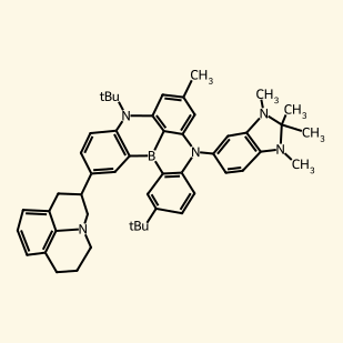 Cc1cc2c3c(c1)N(C(C)(C)C)c1ccc(C4Cc5cccc6c5N(CCC6)C4)cc1B3c1cc(C(C)(C)C)ccc1N2c1ccc2c(c1)N(C)C(C)(C)N2C